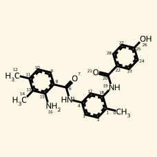 Cc1ccc(NC(=O)c2ccc(C)c(C)c2N)cc1NC(=O)c1ccc(O)cc1